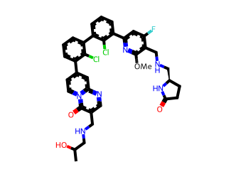 COc1nc(-c2cccc(-c3cccc(-c4ccn5c(=O)c(CNCC(C)O)cnc5c4)c3Cl)c2Cl)cc(F)c1CNC[C@H]1CCC(=O)N1